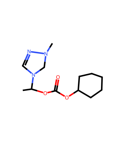 CC(OC(=O)OC1CCCCC1)N1C=NN(C)C1